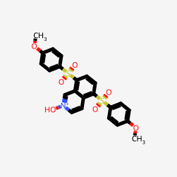 COc1ccc(S(=O)(=O)c2ccc(S(=O)(=O)c3ccc(OC)cc3)c3c[n+](O)ccc23)cc1